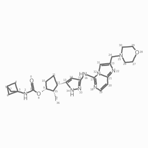 O=C(NC12CC(C1)C2)O[C@@H]1CC[C@H](c2cc(Nc3nccc4nc(CN5CCOCC5)cn34)n[nH]2)[C@@H]1F